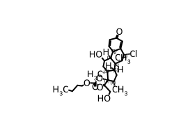 CCCCOC(=O)O[C@]1(C(=O)CO)[C@H](C)C[C@H]2[C@@H]3C[C@H](Cl)C4=CC(=O)C=C[C@]4(C)[C@H]3C(O)C[C@@]21C